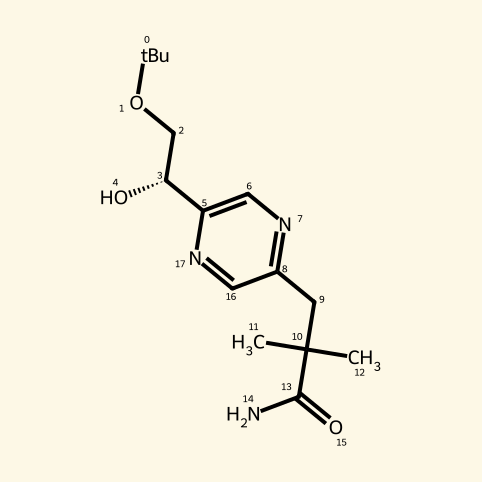 CC(C)(C)OC[C@@H](O)c1cnc(CC(C)(C)C(N)=O)cn1